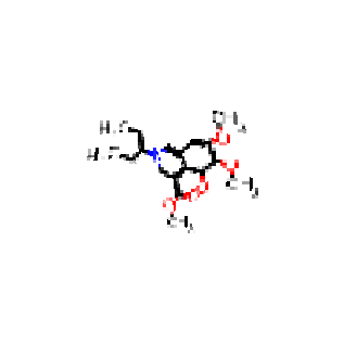 CCC(CC)N1C=C2C=C(OC)C(OC)C(=O)C2=C(C(=O)OC)C1